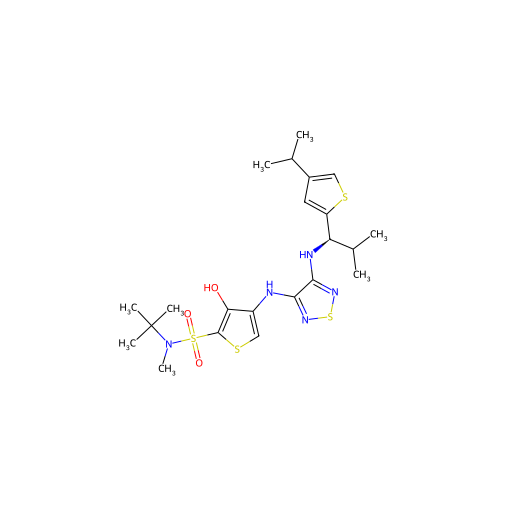 CC(C)c1csc([C@H](Nc2nsnc2Nc2csc(S(=O)(=O)N(C)C(C)(C)C)c2O)C(C)C)c1